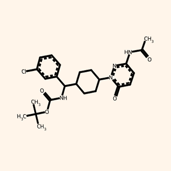 CC(=O)Nc1ccc(=O)n(C2CCC(C(NC(=O)OC(C)(C)C)c3cccc(Cl)c3)CC2)n1